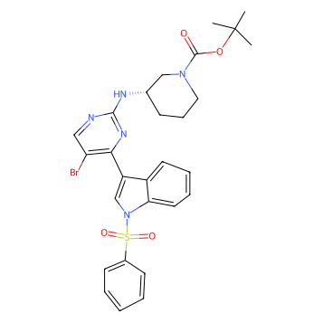 CC(C)(C)OC(=O)N1CCC[C@H](Nc2ncc(Br)c(-c3cn(S(=O)(=O)c4ccccc4)c4ccccc34)n2)C1